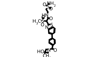 CC1(O)CN(C(=O)c2ccc(-c3ccc4sc(C(C(=O)NCCS(N)(=O)=O)S(C)(=O)=O)nc4c3)cc2)C1